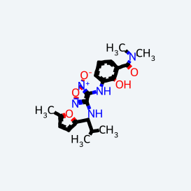 Cc1ccc([C@H](Nc2no[n+]([O-])c2Nc2cccc(C(=O)N(C)C)c2O)C(C)C)o1